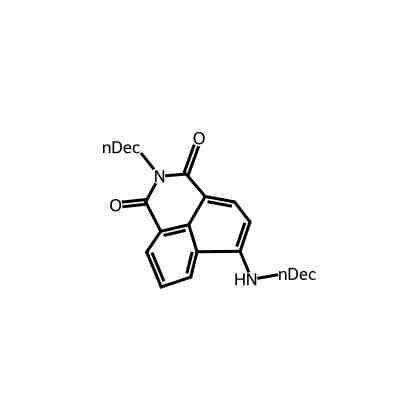 CCCCCCCCCCNc1ccc2c3c(cccc13)C(=O)N(CCCCCCCCCC)C2=O